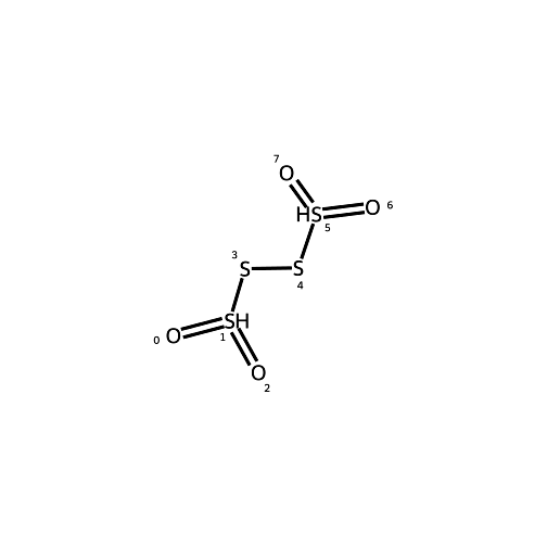 O=[SH](=O)SS[SH](=O)=O